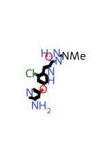 CNC(N)=NC(=O)c1cc2c(Cl)cc(Oc3cncc(N)c3)cc2[nH]1